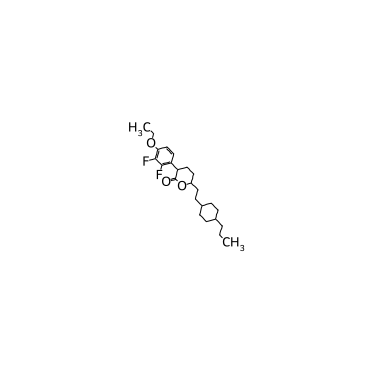 CCCC1CCC(CCC2CCC(c3ccc(OCC)c(F)c3F)C(=O)O2)CC1